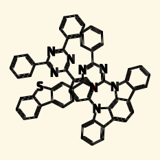 c1ccc(-c2nc(-c3ccccc3)nc(-c3ccc(-n4c5ccccc5c5ccc6c7ccccc7n(-c7nc(-c8ccccc8)nc(-c8ccc9c(c8)sc8ccccc89)n7)c6c54)cc3)n2)cc1